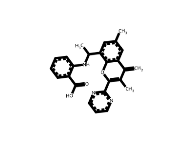 C=C1C(C)=C(c2ncccn2)Oc2c1cc(C)cc2C(C)Nc1ccccc1C(=O)O